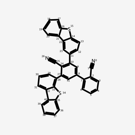 N#Cc1ccccc1-c1cc(-c2ccc3sc4ccccc4c3c2)c(C#N)c(-c2cccc3c2sc2ccccc23)c1